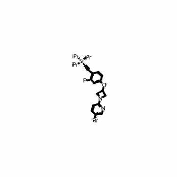 CC(C)[Si](C#Cc1ccc(OC2CN(c3ccc(Br)cn3)C2)cc1F)(C(C)C)C(C)C